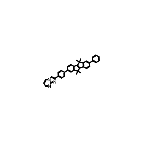 CC1(C)C2=C(c3ccc(-c4ccccc4)cc31)C(C)(C)c1cc(-c3ccc(-c4cn5cccnc5n4)cc3)ccc12